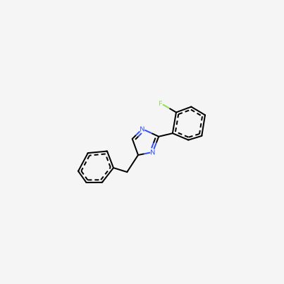 Fc1ccccc1C1=NC(Cc2ccccc2)C=N1